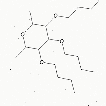 CCCCOC1C(C)OC(C)C(OCCCC)C1OCCCC